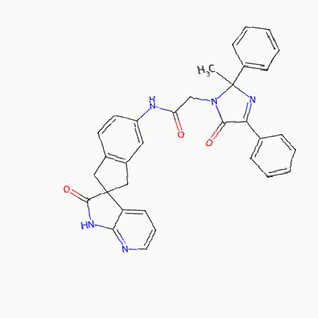 CC1(c2ccccc2)N=C(c2ccccc2)C(=O)N1CC(=O)Nc1ccc2c(c1)CC1(C2)C(=O)Nc2ncccc21